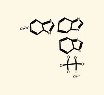 C1=CC2=NC=NC2C=C1.C1=CC2=NC=NC2C=C1.C1=CC2=NC=NC2C=C1.[O-]C([O-])([O-])C([O-])([O-])[O-].[Zn+2].[Zn+2].[Zn+2]